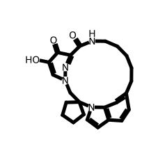 O=C1NCCCCCc2ccc3ccn(c3c2)C2(CCCC2)Cn2cc(O)c(=O)c1n2